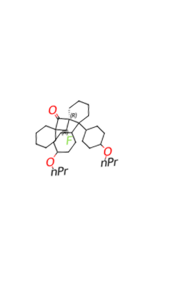 CCCOC1CCC(C2(C3CCC(OCCC)CC3)CCCC[C@]23C(=O)C2(CCCCC2)[C@H]3F)CC1